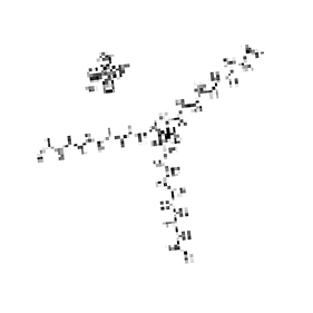 CCCCCCCCCCCC[N+](C)(CCCCCCCCCCCC)CCCCCCCCCCCC.COS(=O)(=O)[O-]